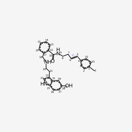 Cc1ccc(/C=C/CCNC(=O)c2ccccc2CNCCc2c[nH]c3ccc(O)cc23)cc1